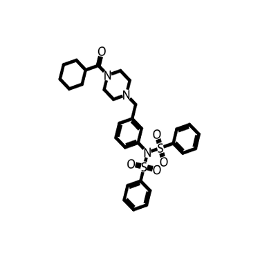 O=C(C1CCCCC1)N1CCN(Cc2cccc(N(S(=O)(=O)c3ccccc3)S(=O)(=O)c3ccccc3)c2)CC1